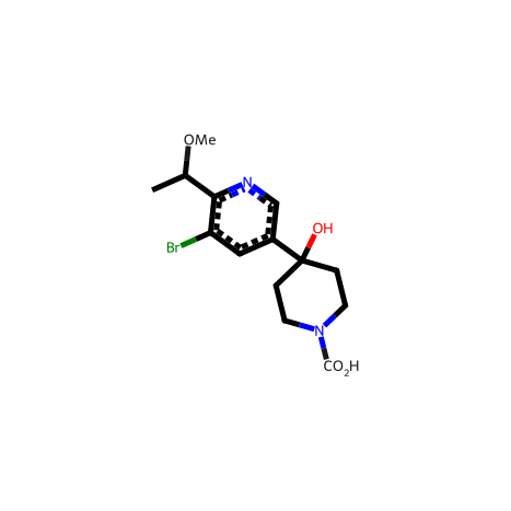 COC(C)c1ncc(C2(O)CCN(C(=O)O)CC2)cc1Br